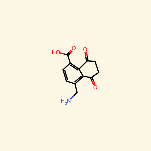 NCc1ccc(C(=O)O)c2c1C(=O)CCC2=O